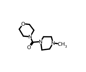 CN1CCN(C(=O)N2CCOCC2)CC1